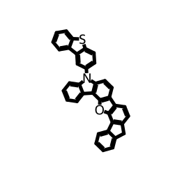 c1ccc2c(c1)Cc1ccc3c(oc4c3ccc3c4c4ccccc4n3-c3ccc4sc5ccccc5c4c3)c1-2